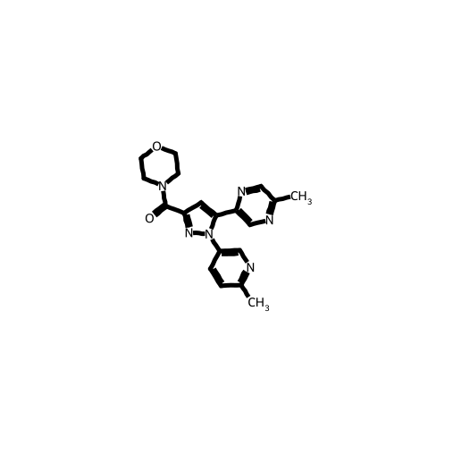 Cc1ccc(-n2nc(C(=O)N3CCOCC3)cc2-c2cnc(C)cn2)cn1